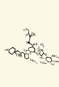 NC[C@@H]1O[C@H](O[C@H]2[C@@H](O)[C@H](O[C@@H]3[C@@H](O)[C@H](NC(=O)C(O)[C@@H](F)CN)C[C@H](N)[C@H]3O[C@H]3OC(CNCC4(O)CCNCC4)=CC[C@H]3N)O[C@@H]2CO)[C@H](N)[C@@H](O)[C@@H]1O